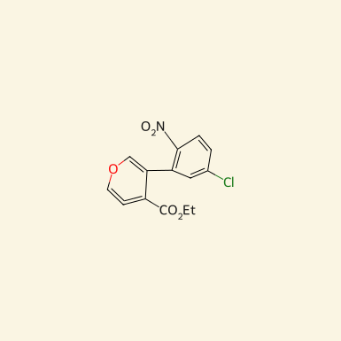 CCOC(=O)C1=C=COC=C1c1cc(Cl)ccc1[N+](=O)[O-]